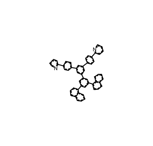 c1ccc(-c2ccc(-c3cc(-c4ccc(-c5ccccn5)cc4)cc(-c4cc(-c5cccc6ccccc56)cc(-c5cccc6ccccc56)c4)c3)cc2)nc1